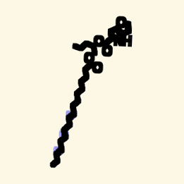 CC/C=C/C/C=C/C/C=C/CCCCCCCC(=O)OCC(CCC)OC(=O)c1cc2occc2[nH]1